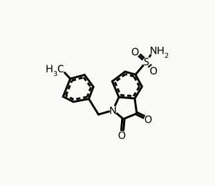 Cc1ccc(CN2C(=O)C(=O)c3cc(S(N)(=O)=O)ccc32)cc1